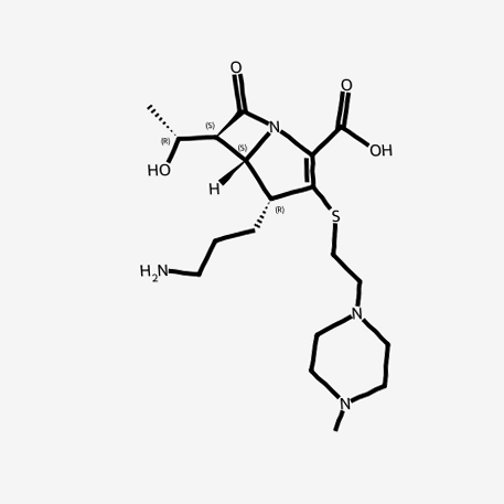 C[C@@H](O)[C@H]1C(=O)N2C(C(=O)O)=C(SCCN3CCN(C)CC3)[C@H](CCCN)[C@H]12